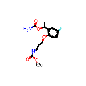 CC(OC(N)=O)c1cc(F)ccc1OCCCNC(=O)OC(C)(C)C